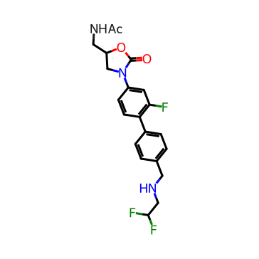 CC(=O)NCC1CN(c2ccc(-c3ccc(CNCC(F)F)cc3)c(F)c2)C(=O)O1